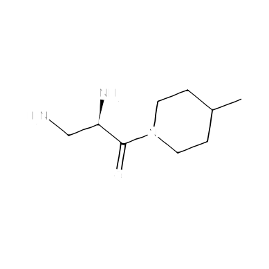 CC1CCN(C(=O)[C@H](N)CN)CC1